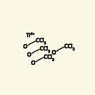 [O-]C(Cl)(Cl)Cl.[O-]C(Cl)(Cl)Cl.[O-]C(Cl)(Cl)Cl.[O-]C(Cl)(Cl)Cl.[Ti+4]